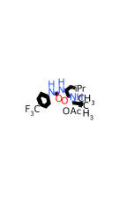 CC(=O)OC(C)(C)CNC(=O)C(CC(C)C)NC(=O)Nc1ccc(C(F)(F)F)cc1